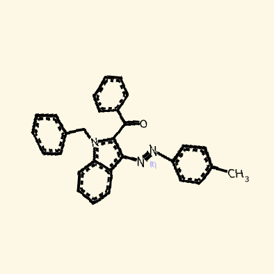 Cc1ccc(/N=N/c2c(C(=O)c3ccccc3)n(Cc3ccccc3)c3ccccc23)cc1